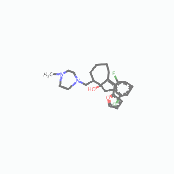 CN1CCN(CC2CCCCC(=Cc3ccco3)C2(O)Cc2c(F)cccc2Cl)CC1